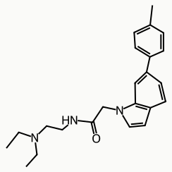 CCN(CC)CCNC(=O)Cn1ccc2ccc(-c3ccc(C)cc3)cc21